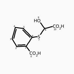 O=C(O)c1ccccc1SC(O)C(=O)O